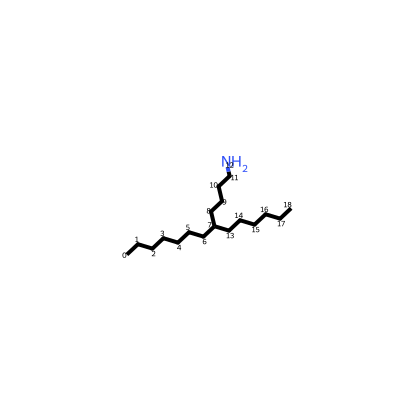 CCCCCCCC(CCCCN)CCCCCC